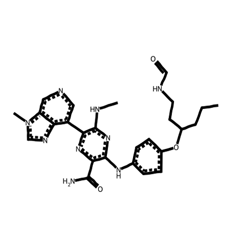 CCCC(CCNC=O)Oc1ccc(Nc2nc(NC)c(-c3cncc4c3ncn4C)nc2C(N)=O)cc1